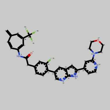 C=C1C=CC(NC(=O)Cc2ccc(-c3cnc4[nH]c(-c5ccnc(N6CCOCC6)c5)cc4c3)c(F)c2)=CC(C(F)(F)F)=C1